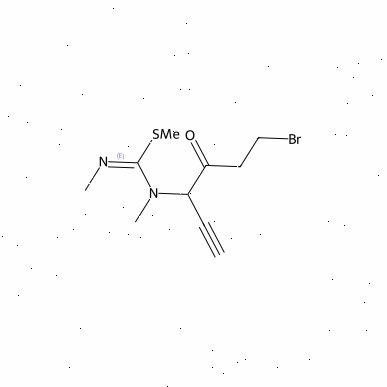 C#CC(C(=O)CCBr)N(C)/C(=N\C)SC